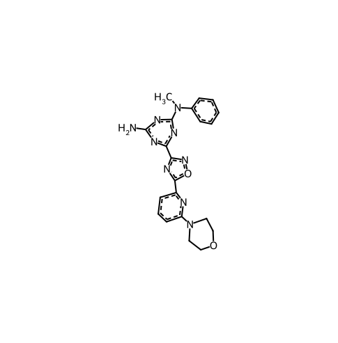 CN(c1ccccc1)c1nc(N)nc(-c2noc(-c3cccc(N4CCOCC4)n3)n2)n1